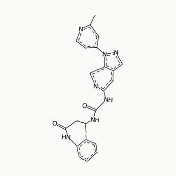 Cc1cc(-n2ncc3cc(NC(=O)NC4CC(=O)Nc5ccccc54)ncc32)ccn1